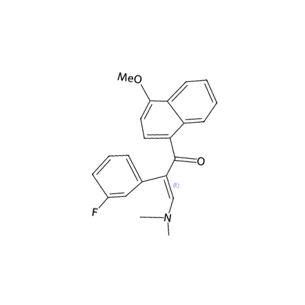 COc1ccc(C(=O)/C(=C/N(C)C)c2cccc(F)c2)c2ccccc12